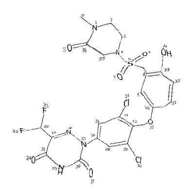 CN1CCN(S(=O)(=O)c2cc(Oc3c(Cl)cc(-n4nc(C(F)F)c(=O)[nH]c4=O)cc3Cl)ccc2O)CC1=O